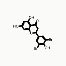 O=C1CC(c2cc(Br)c(O)c(Br)c2)Oc2cc(O)cc(O)c21